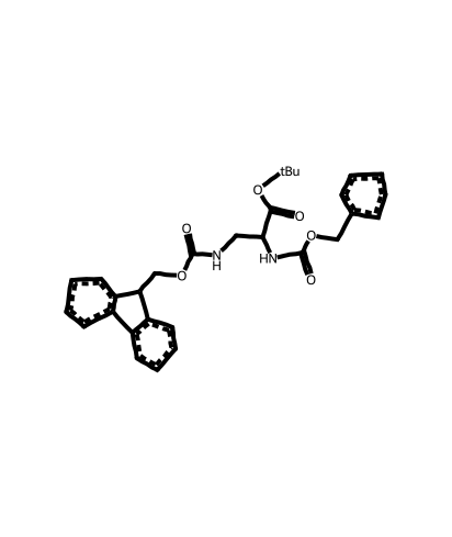 CC(C)(C)OC(=O)C(CNC(=O)OCC1c2ccccc2-c2ccccc21)NC(=O)OCc1ccccc1